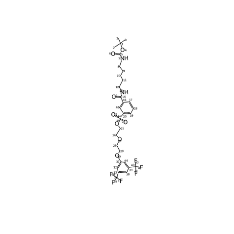 CC(C)(C)OC(=O)NCCCCCNC(=O)c1cccc(S(=O)(=O)OCCOCCOc2cc(C(F)(F)F)cc(C(F)(F)F)c2)c1